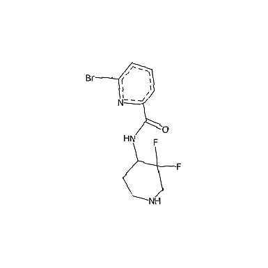 O=C(NC1CCNCC1(F)F)c1cccc(Br)n1